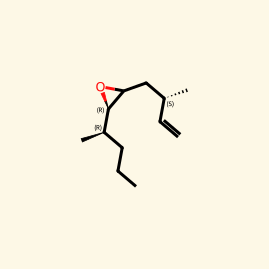 C=C[C@@H](C)CC1O[C@@H]1[C@H](C)CCC